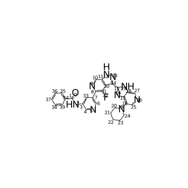 O=C(Nc1cncc(-c2ncc3[nH]nc(-c4nc5c(N6CCCCC6)cncc5[nH]4)c3c2F)c1)c1ccccc1